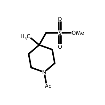 COS(=O)(=O)CC1(C)CCN(C(C)=O)CC1